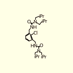 CC(C)CN(CC(C)C)C(=O)NCc1cccc(CNC(=O)N(CC(C)C)CC(C)C)c1Cl